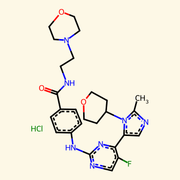 Cc1ncc(-c2nc(Nc3ccc(C(=O)NCCN4CCOCC4)cc3)ncc2F)n1C1CCOCC1.Cl